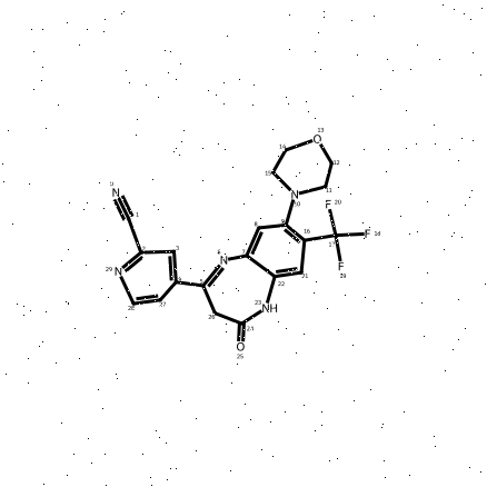 N#Cc1cc(C2=Nc3cc(N4CCOCC4)c(C(F)(F)F)cc3NC(=O)C2)ccn1